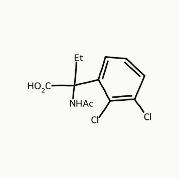 CCC(NC(C)=O)(C(=O)O)c1cccc(Cl)c1Cl